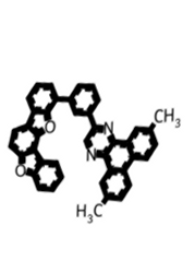 Cc1ccc2c3ccc(C)cc3c3nc(-c4cccc(-c5cccc6c5oc5c6ccc6oc7ccccc7c65)c4)cnc3c2c1